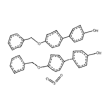 O=S=O.Oc1ccc(-c2ccc(OCc3ccccc3)cc2)cc1.Oc1ccc(-c2ccc(OCc3ccccc3)cc2)cc1